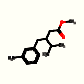 COC(=O)CC(Cc1cccc(C)c1)C(C)C